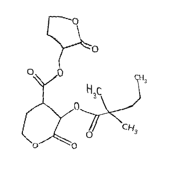 CCC(C)(C)C(=O)OC1C(=O)OCCC1C(=O)OC1CCOC1=O